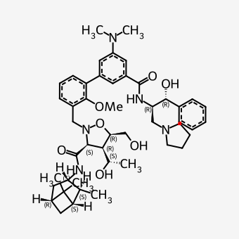 COc1c(CN2O[C@@H](CO)[C@@H]([C@H](C)O)[C@H]2C(=O)N[C@H]2C[C@H]3C[C@@H]([C@@H]2C)C3(C)C)cccc1-c1cc(C(=O)N[C@H](CN2CCCC2)[C@H](O)c2ccccc2)cc(N(C)C)c1